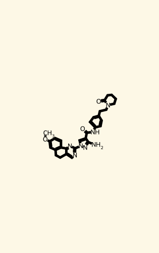 COc1ccc2c(c1)CCc1cnc(-n3cc(C(=O)Nc4ccc(CCN5CCCCC5=O)cc4)c(N)n3)nc1-2